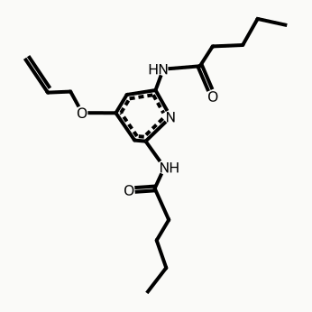 C=CCOc1cc(NC(=O)CCCC)nc(NC(=O)CCCC)c1